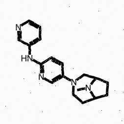 CN1C2CCC1CN(c1ccc(Nc3cccnc3)nc1)CC2